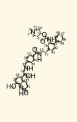 C[N+]1(C)CCC(OC(=O)Nc2cc(CCNC(=O)c3ccc(CNC[C@H](O)c4ccc(O)c5[nH]c(=O)ccc45)cc3)ccc2-c2ccccc2)CC1